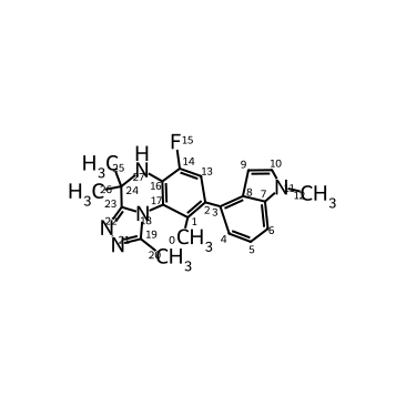 Cc1c(-c2cccc3c2ccn3C)cc(F)c2c1-n1c(C)nnc1C(C)(C)N2